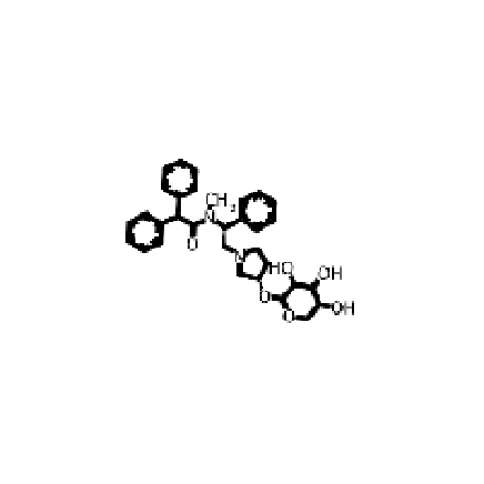 CN(C(=O)C(c1ccccc1)c1ccccc1)[C@H](CN1CC[C@@H](OC2OCC(O)C(O)C2O)C1)c1ccccc1